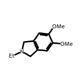 CCN1Cc2cc(OC)c(OC)cc2C1